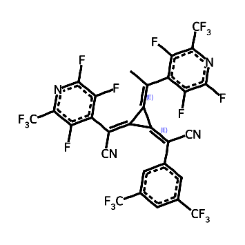 C/C(=C1\C(=C(C#N)c2c(F)c(F)nc(C(F)(F)F)c2F)\C1=C(\C#N)c1cc(C(F)(F)F)cc(C(F)(F)F)c1)c1c(F)c(F)nc(C(F)(F)F)c1F